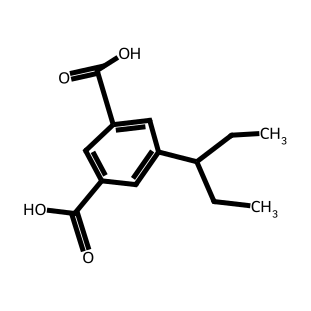 CCC(CC)c1cc(C(=O)O)cc(C(=O)O)c1